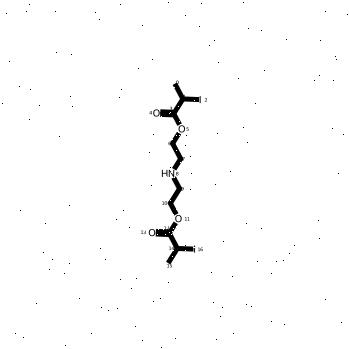 CC(I)C(=O)OCCNCCOC(=O)C(C)I